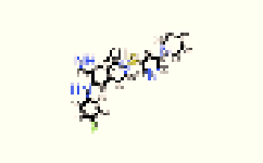 C=CC12CC(C=N)=C(Nc3ccc(F)cc3)C=C1CCN(Sc1cncc(N3CCCCC3)c1)C2